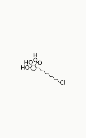 O=C(O)c1c(CCCCCCCCCCCl)ccc(O)c1O